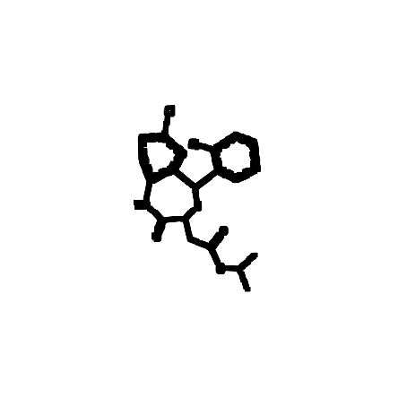 CC(C)OC(=O)CC1SC(c2ccccc2Cl)c2cc(Cl)ccc2NC1=O